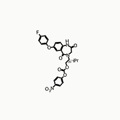 CC(C)[C@H](COC(=O)Oc1ccc([N+](=O)[O-])cc1)N1CC(=O)Nc2ccc(Oc3ccc(F)cc3)cc2C1=O